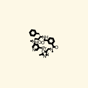 Cc1nnc(CN(C)C(=O)c2cccc(C(=O)N[C@@H](Cc3ccccc3)[C@H](O)CN(C)c3cncc(C(C)C)c3)c2)o1